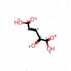 O=C(O)C=CC(=O)C(=O)O